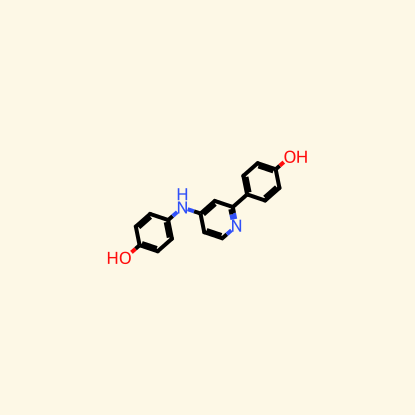 Oc1ccc(Nc2ccnc(-c3ccc(O)cc3)c2)cc1